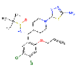 C=CCOc1cc(Cl)c(Cl)cc1[C@H](N[S+]([O-])C(C)(C)C)C1CCN(c2nnc(N)s2)CC1